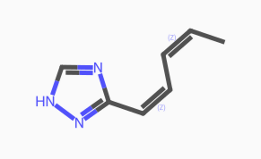 C/C=C\C=C/c1nc[nH]n1